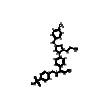 CCS(=O)(=O)c1ccc(CN/C(=C/O)c2cnc(N3C[C@H](Oc4ccc(C(F)(F)F)cc4)C[C@H]3CCC#N)nc2)cc1